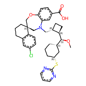 CO[C@@H]([C@H]1CCC[C@@H](Sc2ncccn2)C1)[C@@H]1CC[C@H]1CN1C[C@@]2(CCCc3cc(Cl)ccc32)COc2ccc(C(=O)O)cc21